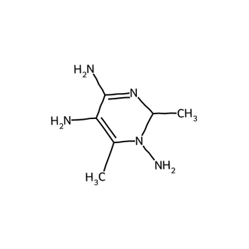 CC1=C(N)C(N)=NC(C)N1N